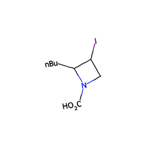 CCCCC1C(I)CN1C(=O)O